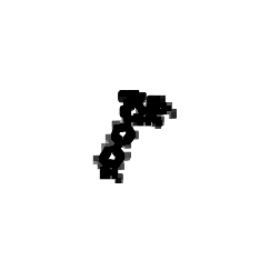 COC(=O)[C@@H](NC(=O)c1ccc(-c2ccc(N)cc2)cc1)[C@](C)(O)CF